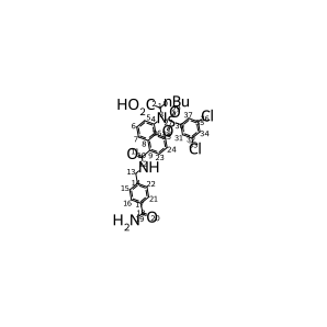 CCCCC(C(=O)O)N(c1cccc2c(C(=O)NCc3ccc(C(N)=O)cc3)cccc12)S(=O)(=O)c1cc(Cl)cc(Cl)c1